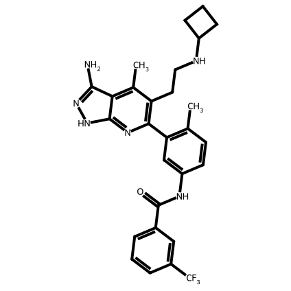 Cc1ccc(NC(=O)c2cccc(C(F)(F)F)c2)cc1-c1nc2[nH]nc(N)c2c(C)c1CCNC1CCC1